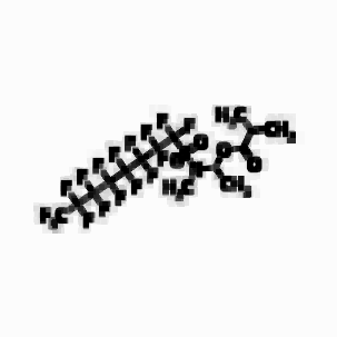 C=C(C)C(=O)OC(C)N(C)S(=O)(=O)C(F)(F)C(F)(F)C(F)(F)C(F)(F)C(F)(F)C(F)(F)C(F)(F)C(F)(F)F